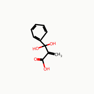 C=C(C(=O)O)C(O)(O)c1ccccc1